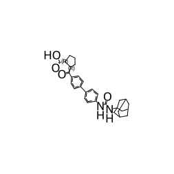 O=C(Nc1ccc(-c2ccc(C(=O)[C@@H]3CCC[C@H]3C(=O)O)cc2)cc1)NC12CC3CC(CC(C3)C1)C2